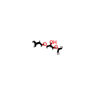 CC(C)=CCOCC(O)COC(C)C